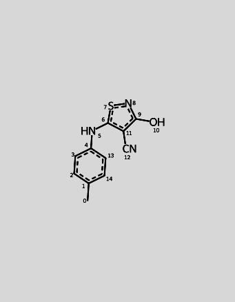 Cc1ccc(Nc2snc(O)c2C#N)cc1